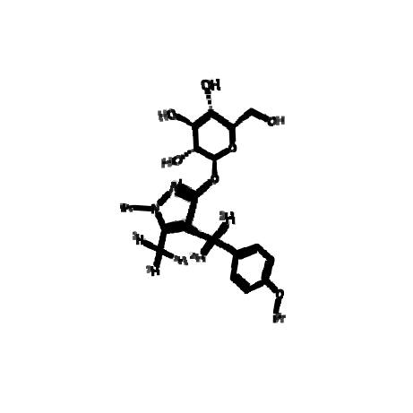 [2H]C([2H])([2H])c1c(C([2H])([2H])c2ccc(OC(C)C)cc2)c(O[C@@H]2O[C@H](CO)[C@@H](O)[C@H](O)[C@H]2O)nn1C(C)C